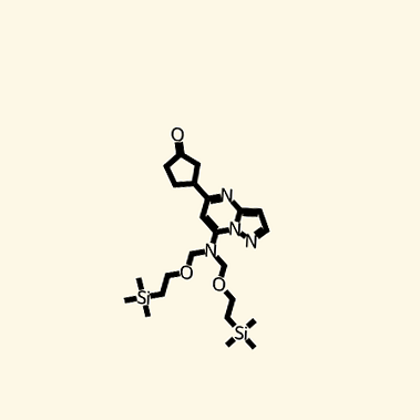 C[Si](C)(C)CCOCN(COCC[Si](C)(C)C)c1cc(C2CCC(=O)C2)nc2ccnn12